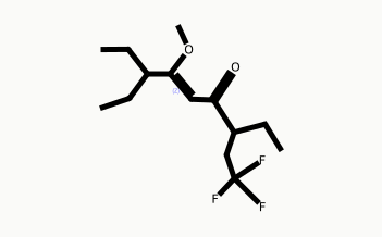 CCC(CC(F)(F)F)C(=O)/C=C(\OC)C(CC)CC